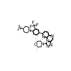 C[C@@H]1CN(c2nnc3cnc4ccc(-c5ccc(N6CCC(N(C)C)CC6)c(C(F)(F)F)c5)nc4n23)C[C@H](C)O1